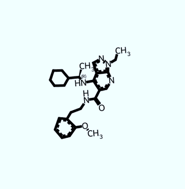 CCn1ncc2c(N[C@H](C)C3CCCCC3)c(C(=O)NCCc3ccccc3OC)cnc21